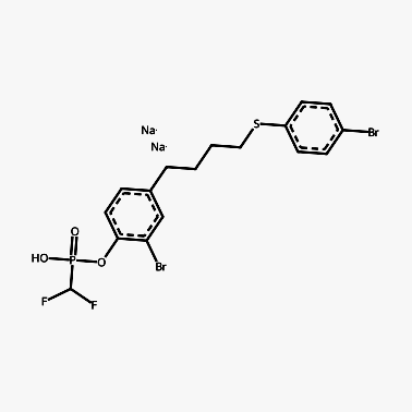 O=P(O)(Oc1ccc(CCCCSc2ccc(Br)cc2)cc1Br)C(F)F.[Na].[Na]